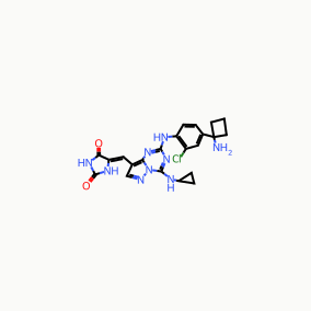 NC1(c2ccc(Nc3nc(NC4CC4)n4ncc(/C=C5\NC(=O)NC5=O)c4n3)c(Cl)c2)CCC1